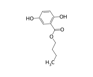 CCCCOC(=O)c1cc(O)ccc1O